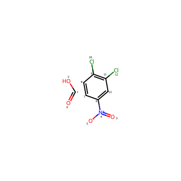 O=CO.O=[N+]([O-])c1ccc(Cl)c(Cl)c1